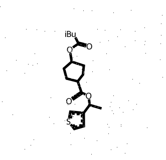 CCC(C)C(=O)OC1CCC(C(=O)OC(C)c2ccsc2)CC1